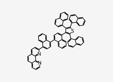 c1ccc2c(-c3sc(-c4cccc5ccccc45)c(-c4ccc(-c5ccc(-c6ccc7ccc8cccnc8c7n6)c6ccccc56)c5ccccc45)c3-c3cccc4ccccc34)cccc2c1